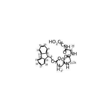 C[C@H](NC(=O)OCC1c2ccccc2-c2ccccc21)C(=O)N[C@@H](C)C(=O)N[C@@H](C)C(=O)NCC(=O)O